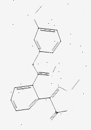 COC=C(C(=O)O)c1ccccc1C(Cc1cccc(OC)c1)=NO